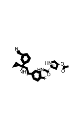 CC(=O)O[C@H]1CN[C@@H](C(=O)Nc2cc(CC[C@@](N)(c3cccc(C#N)c3)C3CC3)ccc2F)C1